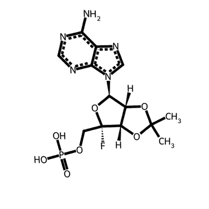 CC1(C)O[C@H]2[C@H](n3cnc4c(N)ncnc43)O[C@](F)(COP(=O)(O)O)[C@H]2O1